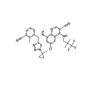 Cc1c(C#N)cccc1[C@H](Nc1cc(Cl)cc2c(NCC(C)(C)C(F)(F)F)c(C#N)cnc12)c1cn(C2(C)CC2)nn1